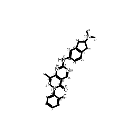 Cc1nn(-c2ccccc2Cl)c(=O)c2cnc(Nc3ccc4c(c3)CC(N(C)C)C4)nc12